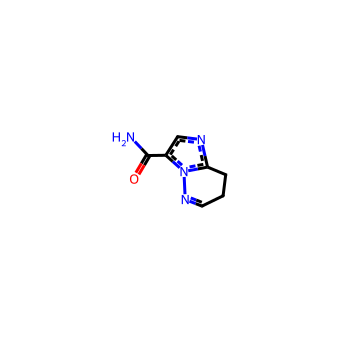 NC(=O)c1cnc2n1N=CCC2